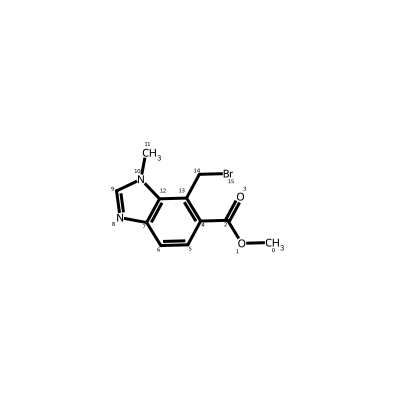 COC(=O)c1ccc2ncn(C)c2c1CBr